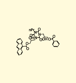 CCCn1c(=O)n(CC(O)COC(=O)c2ccccc2)c(=O)n(CC(O)COC(=O)c2c3ccccc3cc3ccccc23)c1=O